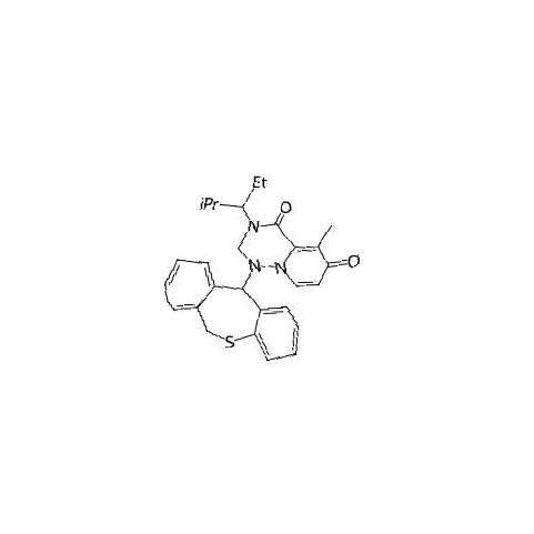 CCC(C(C)C)N1CN(C2c3ccccc3CSc3ccccc32)n2ccc(=O)c(C)c2C1=O